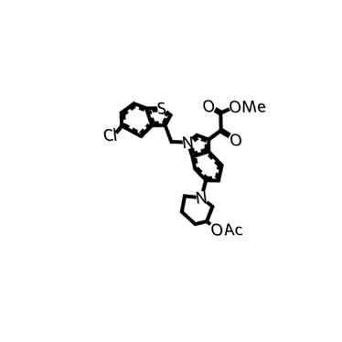 COC(=O)C(=O)c1cn(Cc2csc3ccc(Cl)cc23)c2cc(N3CCCC(OC(C)=O)C3)ccc12